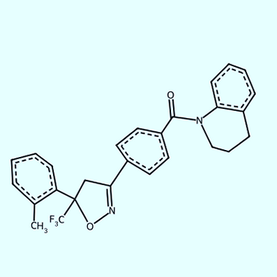 Cc1ccccc1C1(C(F)(F)F)CC(c2ccc(C(=O)N3CCCc4ccccc43)cc2)=NO1